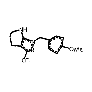 COc1ccc(Cn2nc(C(F)(F)F)c3c2NCCC3)cc1